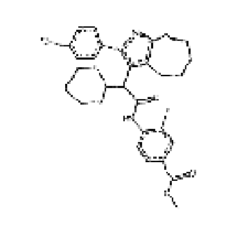 COC(=O)c1ccc(NC(=O)C(c2c3c(nn2-c2ccc(Cl)cc2)CCCCC3)C2CCCCC2)c(F)c1